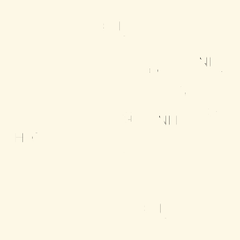 C=CC[Si](CC=C)(CC=C)NS(N)(=O)=O